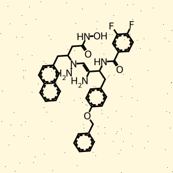 N/C(=C\N(N)C(CC(=O)NO)Cc1ccc2ccccc2c1)C(Cc1ccc(OCc2ccccc2)cc1)NC(=O)c1ccc(F)c(F)c1